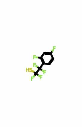 Fc1ccc(C(F)(F)C(F)(F)S)c(F)c1